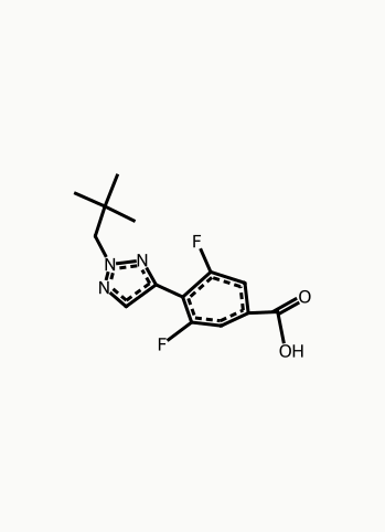 CC(C)(C)Cn1ncc(-c2c(F)cc(C(=O)O)cc2F)n1